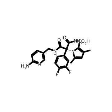 Cc1cc(C)n([C@@](C(N)=O)(C(=O)NCc2ccc(N)nc2)c2ccc(F)c(F)c2)c1C(=O)O